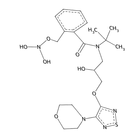 CC(C)(C)N(CC(O)COc1nsnc1N1CCOCC1)C(=O)c1ccccc1CON(O)O